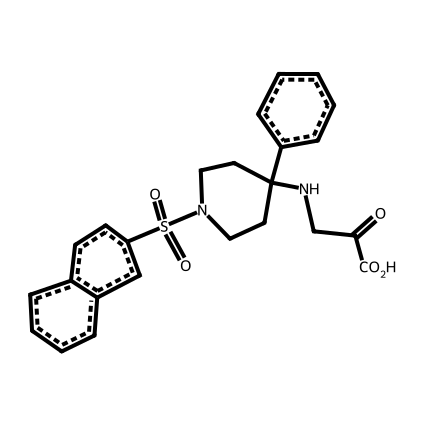 O=C(O)C(=O)CNC1(c2ccccc2)CCN(S(=O)(=O)c2ccc3ccccc3c2)CC1